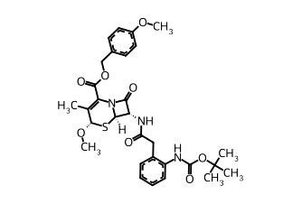 COc1ccc(COC(=O)C2=C(C)[C@@H](OC)S[C@@H]3[C@@H](NC(=O)Cc4ccccc4NC(=O)OC(C)(C)C)C(=O)N23)cc1